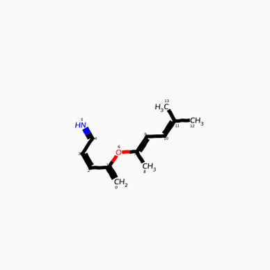 C=C(/C=C\C=N)O/C(C)=C/C=C(C)C